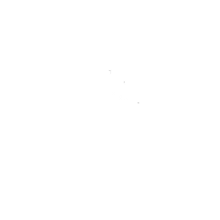 Cc1ccccc1[CH]C1CC2(C(C)C)CCC1(C)O2